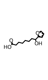 O=C(O)CCCCCCC(O)c1ccco1